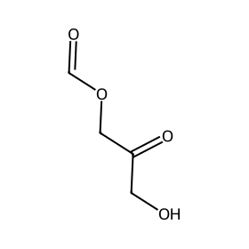 O=COCC(=O)CO